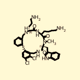 CN1C(=O)C(CCCCN)NC(=O)[C@@H](CCCN)NCc2ccccc2Sc2ccc(Cl)c(Cl)c2CNC(=O)[C@@H]1Cc1c[nH]c2ccccc12